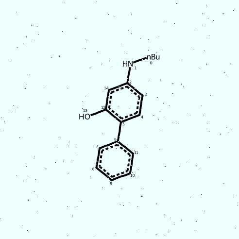 CCCCNc1ccc(-c2ccccc2)c(O)c1